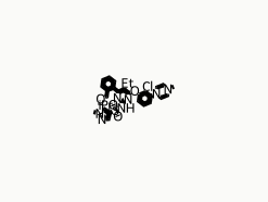 CCc1c(Oc2cccc(N3CCN(C)CC3)c2Cl)nc(NS(=O)(=O)c2cnn(C)c2)nc1-c1ccccc1COC(C)C